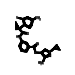 Cc1ccc(C2(C(=O)Nc3cccc(C(=O)Oc4cn(C5CC5)nc4C)c3)CC2)c(F)c1